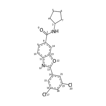 O=C(NC1CCCC1)c1ccc2nc(-c3cc(Cl)cc(Cl)c3)oc2c1